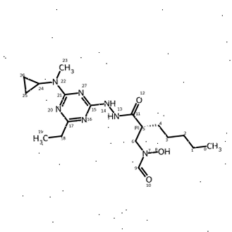 CCCCC[C@H](CN(O)C=O)C(=O)NNc1nc(CC)nc(N(C)C2CC2)n1